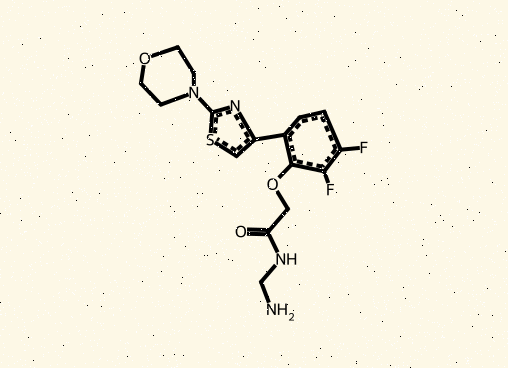 NCNC(=O)COc1c(-c2csc(N3CCOCC3)n2)ccc(F)c1F